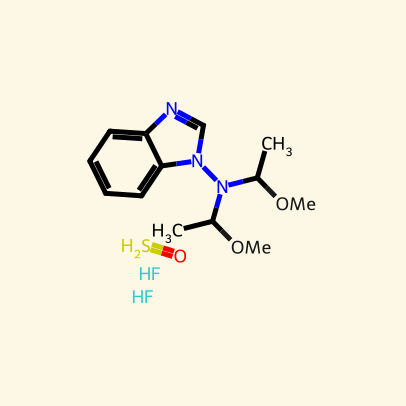 COC(C)N(C(C)OC)n1cnc2ccccc21.F.F.O=[SH2]